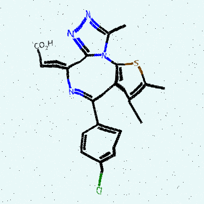 Cc1sc2c(c1C)C(c1ccc(Cl)cc1)=N/C(=C/C(=O)O)c1nnc(C)n1-2